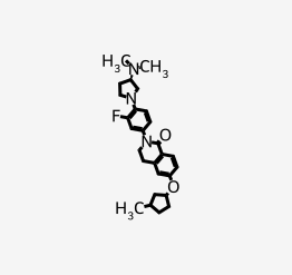 CC1CCC(Oc2ccc3c(c2)CCN(c2ccc(N4CC[C@@H](N(C)C)C4)c(F)c2)C3=O)C1